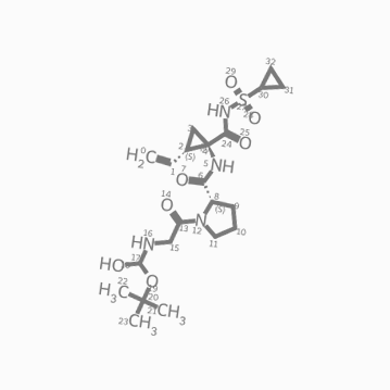 C=C[C@@H]1C[C@]1(NC(=O)[C@@H]1CCCN1C(=O)CNC(O)OC(C)(C)C)C(=O)NS(=O)(=O)C1CC1